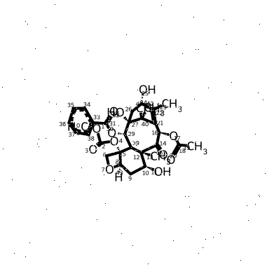 COC(=O)O[C@@]12CO[C@@H]1C[C@H](O)[C@@]1(C)C(=O)[C@H](OC(C)=O)C3=C(C)[C@@H](O)C[C@@](O)([C@@H](OC(=O)c4ccccc4)C12)C3(C)C